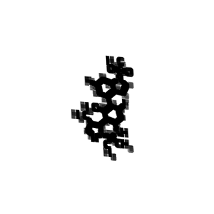 Cc1cnn2c1-c1c(cc(F)c(-c3cc(F)cc4c3ccn4S(C)(=O)=O)c1C)NC2(C)C